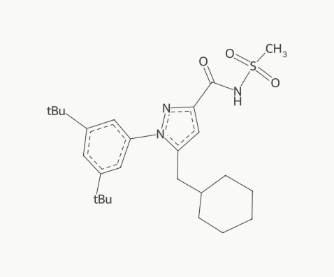 CC(C)(C)c1cc(-n2nc(C(=O)NS(C)(=O)=O)cc2CC2CCCCC2)cc(C(C)(C)C)c1